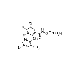 Cc1cc(Br)cnc1Nc1c(C(=O)NOCC(=O)O)cc(Cl)c(F)c1F